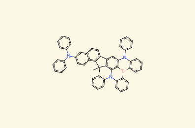 CC1(C)c2c(cc3c4c2N(c2ccccc2)c2ccccc2B4c2ccccc2N3c2ccccc2)-c2ccc3cc(N(c4ccccc4)c4ccccc4)ccc3c21